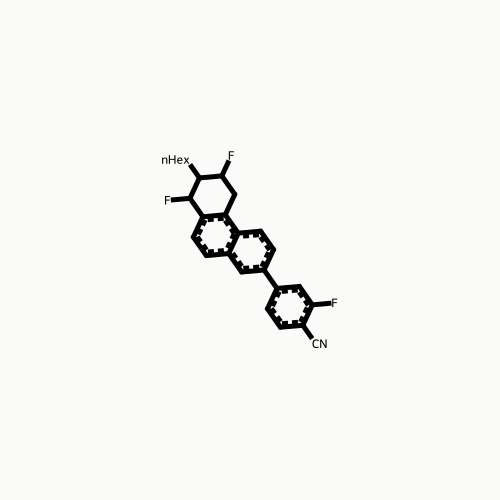 CCCCCCC1C(F)Cc2c(ccc3cc(-c4ccc(C#N)c(F)c4)ccc23)C1F